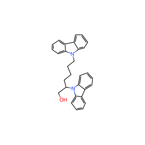 OCC(CCCCn1c2ccccc2c2ccccc21)n1c2ccccc2c2ccccc21